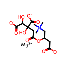 C[N+](C)(C)CC(CC(=O)[O-])OC(=O)CC(O)(C(=O)[O-])C(O)C(=O)[O-].[Mg+2]